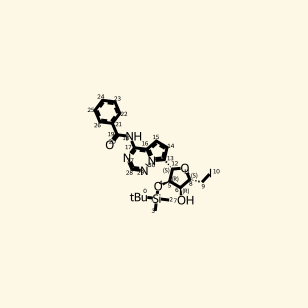 CC(C)(C)[Si](C)(C)O[C@@H]1[C@H](O)[C@@H](CI)O[C@H]1c1ccc2c(NC(=O)c3ccccc3)ncnn12